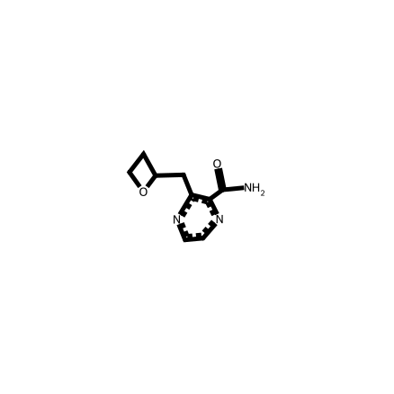 NC(=O)c1nccnc1CC1CCO1